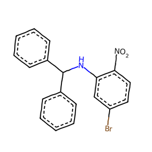 O=[N+]([O-])c1ccc(Br)cc1NC(c1ccccc1)c1ccccc1